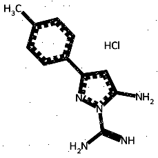 Cc1ccc(-c2cc(N)n(C(=N)N)n2)cc1.Cl